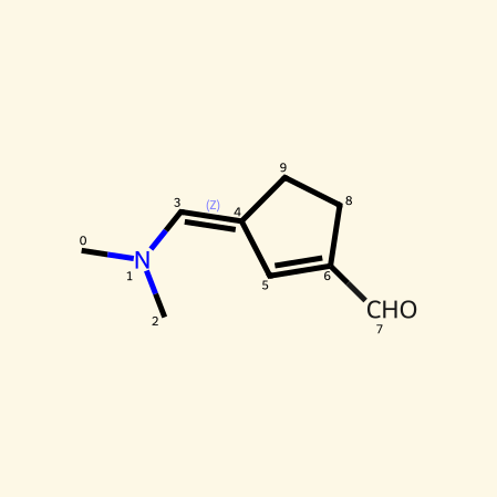 CN(C)/C=C1\C=C(C=O)CC1